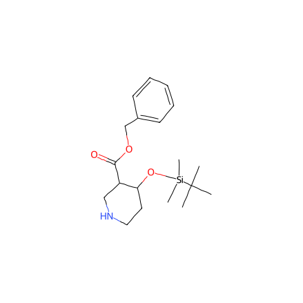 CC(C)(C)[Si](C)(C)OC1CCNCC1C(=O)OCc1ccccc1